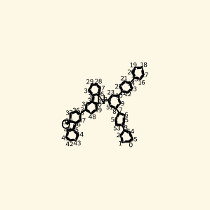 c1ccc(-c2ccc(-c3cc(-c4ccc(-c5ccccc5)cc4)cc(-n4c5ccccc5c5cc(-c6ccc7oc8ccccc8c7c6)ccc54)c3)cc2)cc1